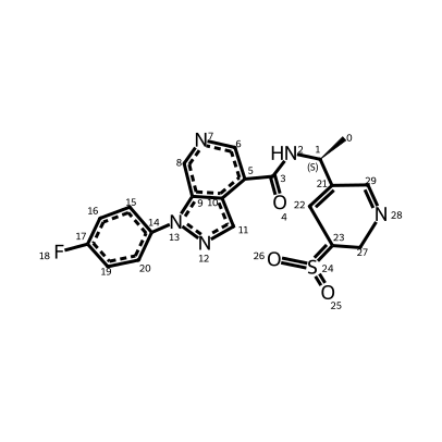 C[C@H](NC(=O)c1cncc2c1cnn2-c1ccc(F)cc1)C1=CC(=S(=O)=O)CN=C1